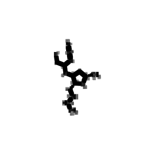 C[C@H]1CC(OC(CF)N=[N+]=[N-])[C@@H](CPPP)O1